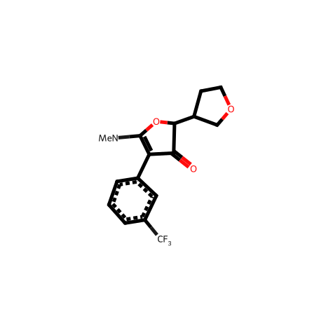 CNC1=C(c2cccc(C(F)(F)F)c2)C(=O)C(C2CCOC2)O1